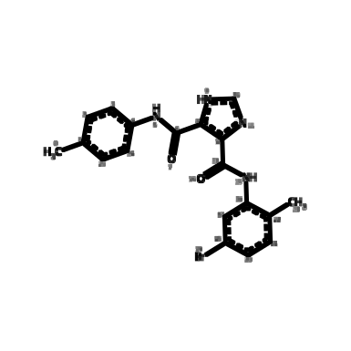 Cc1ccc(NC(=O)c2[nH]cnc2C(=O)Nc2cc(Br)ccc2C)cc1